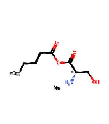 CCCCCCCCCCCC(=O)OC(=O)[C@@H](N)CO.[Na]